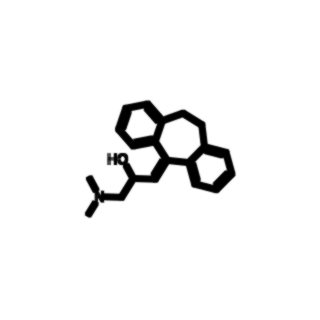 CN(C)CC(O)C=C1c2ccccc2CCc2ccccc21